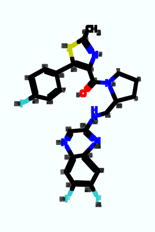 Cc1nc(C(=O)N2CCCC2CNc2cnc3cc(F)c(F)cc3n2)c(-c2ccc(F)cc2)s1